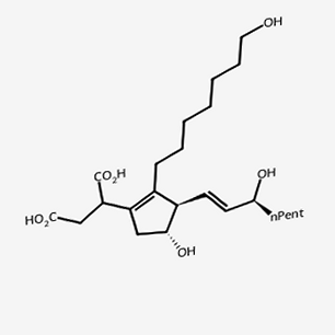 CCCCC[C@H](O)/C=C/[C@@H]1C(CCCCCCCO)=C(C(CC(=O)O)C(=O)O)C[C@H]1O